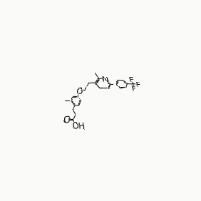 Cc1cc(OCCc2ccc(-c3ccc(C(F)(F)F)cc3)nc2C)ccc1CCC(=O)O